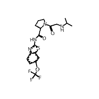 CC(C)NCC(=O)N1CCCC1C(=O)Nc1nc2ccc(OC(F)(F)F)cc2s1